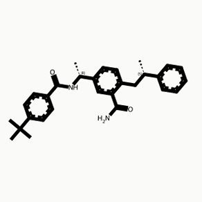 C[C@@H](Cc1ccc([C@@H](C)NC(=O)c2ccc(C(C)(C)C)cc2)cc1C(N)=O)c1ccccc1